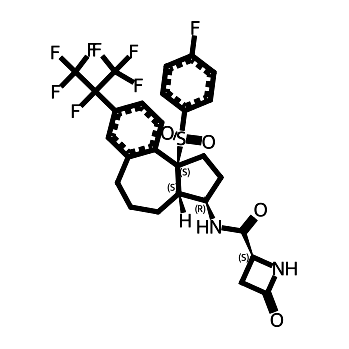 O=C1C[C@@H](C(=O)N[C@@H]2CC[C@@]3(S(=O)(=O)c4ccc(F)cc4)c4ccc(C(F)(C(F)(F)F)C(F)(F)F)cc4CCC[C@@H]23)N1